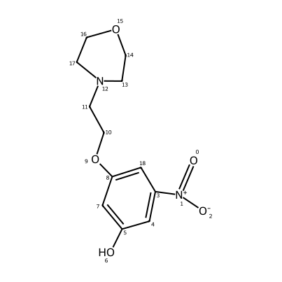 O=[N+]([O-])c1cc(O)cc(OCCN2CCOCC2)c1